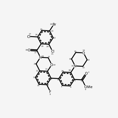 COC(=O)c1ccc(-c2c(F)ccc3c2OCN(C(=O)c2c(Cl)cc(Br)cc2Cl)C3)cc1N1CCOCC1